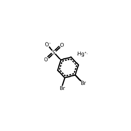 O=S(=O)([O-])c1ccc(Br)c(Br)c1.[Hg+]